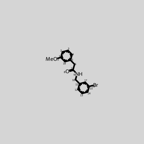 COc1cccc(CC(=O)NCc2cccc(Br)c2)c1